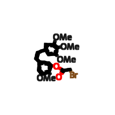 COc1ccc(/C=C\c2cc(OC)c(OC)c(OC)c2)cc1OC(=O)CBr